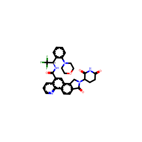 O=C1CCC(N2Cc3c(ccc4c3cc(C(=O)N[C@H](c3ccccc3N3CCOCC3)C(F)(F)F)c3cccnc34)C2=O)C(=O)N1